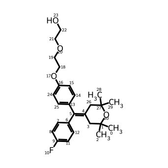 CC1(C)CC(=C(c2ccc(F)cc2)c2ccc(OCCOCCO)cc2)CC(C)(C)O1